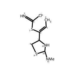 C/C=C(\SC(=N)Cl)C1CSC(NC)N1